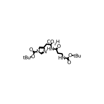 CC(C)(C)OC(=O)NCCC(=O)NC(Cc1cn(C(=O)OC(C)(C)C)cn1)C(=O)O